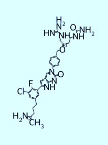 C[C@H](N)CCCc1cc(Cl)c(F)c(-c2cc3cn(-c4ccc(CO[C@H](CCNC(N)=O)CNC(=N)N)cc4)c(=O)nc3[nH]2)c1